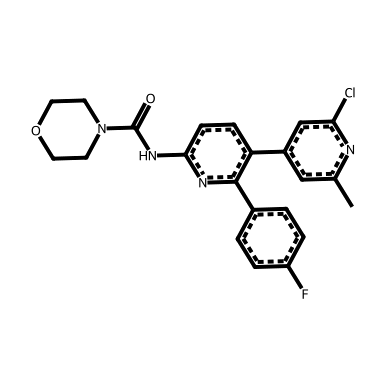 Cc1cc(-c2ccc(NC(=O)N3CCOCC3)nc2-c2ccc(F)cc2)cc(Cl)n1